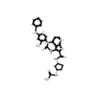 CC(=O)N[C@H]1CC[C@@H](NC(=O)c2sc3nccc4c3c2NC(=O)N4c2cnc(Oc3ccccc3)cc2C)C1